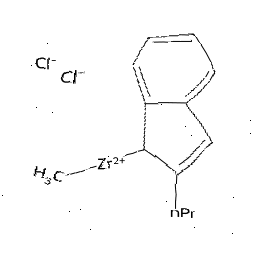 CCCC1=Cc2ccccc2[CH]1[Zr+2][CH3].[Cl-].[Cl-]